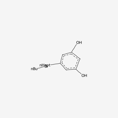 CCCCBr.CCCCCCCc1cc(O)cc(O)c1